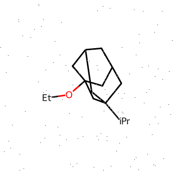 CCOC12CC3CC(C1)CC(C(C)C)(C3)C2